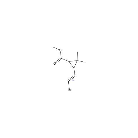 COC(=O)C1C(/C=C/Br)C1(C)C